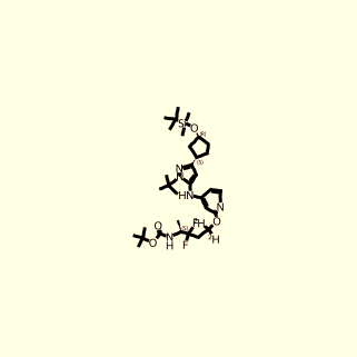 [2H]C([2H])(CC(F)(F)[C@H](C)NC(=O)OC(C)(C)C)Oc1cc(Nc2cc([C@H]3CC[C@@H](O[Si](C)(C)C(C)(C)C)C3)nn2C(C)(C)C)ccn1